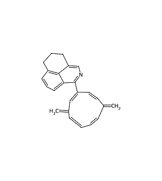 C=c1ccccc(=C)cc(-c2ncc3c4c(cccc24)CCC3)cc1